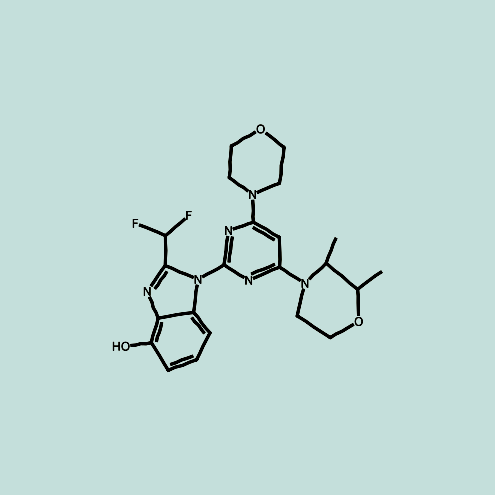 CC1OCCN(c2cc(N3CCOCC3)nc(-n3c(C(F)F)nc4c(O)cccc43)n2)C1C